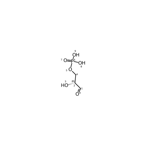 O=C[C@H](O)COP(=O)(O)O